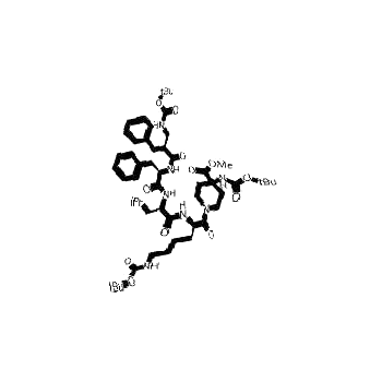 COC(=O)C1(NC(=O)OC(C)(C)C)CCN(C(=O)[C@@H](CCCCNC(=O)OC(C)(C)C)NC(=O)[C@@H](CC(C)C)NC(=O)[C@@H](Cc2ccccc2)NC(=O)[C@H](CNC(=O)OC(C)(C)C)Cc2ccccc2)CC1